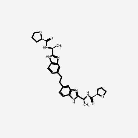 C[C@H](NC(=O)[C@H]1CCCO1)c1nc2cc(CCc3ccc4[nH]c([C@H](C)NC(=O)[C@H]5CCCO5)nc4c3)ccc2[nH]1